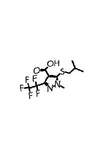 CC(C)CSc1c(C(=O)O)c(C(F)(F)C(F)(F)F)nn1C